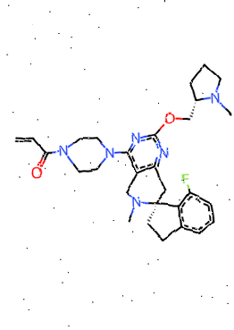 C=CC(=O)N1CCN(c2nc(OC[C@@H]3CCCN3C)nc3c2CN(C)[C@@]2(CCc4cccc(F)c42)C3)CC1